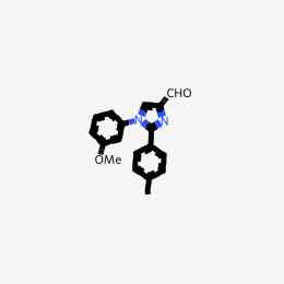 COc1cccc(-n2cc(C=O)nc2-c2ccc(C)cc2)c1